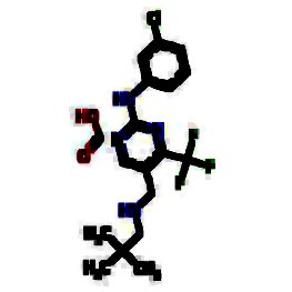 CC(C)(C)CNCc1cnc(Nc2cccc(Cl)c2)nc1C(F)(F)F.O=CO